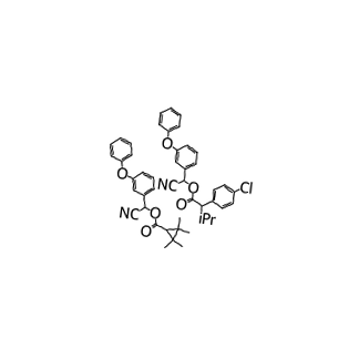 CC(C)C(C(=O)OC(C#N)c1cccc(Oc2ccccc2)c1)c1ccc(Cl)cc1.CC1(C)C(C(=O)OC(C#N)c2cccc(Oc3ccccc3)c2)C1(C)C